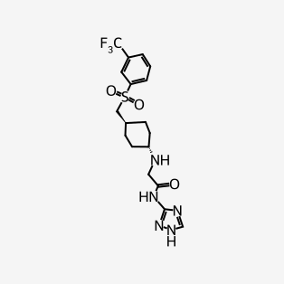 O=C(CN[C@H]1CC[C@H](CS(=O)(=O)c2cccc(C(F)(F)F)c2)CC1)Nc1nc[nH]n1